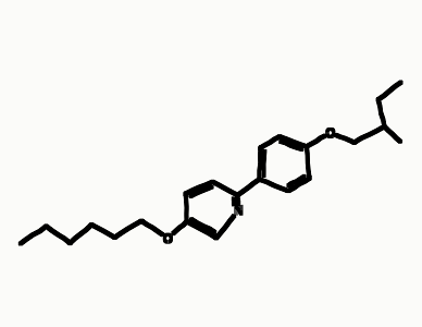 CCCCCCOc1ccc(-c2ccc(OCC(C)CC)cc2)nc1